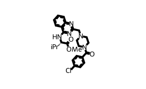 COC(=O)[C@@H](Nc1nc(CN2CCN(C(=O)c3ccc(Cl)cc3)CC2)nc2ccccc12)C(C)C